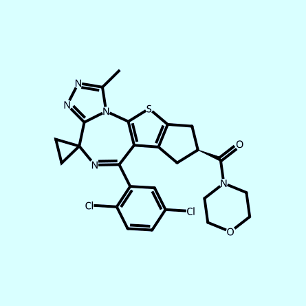 Cc1nnc2n1-c1sc3c(c1C(c1cc(Cl)ccc1Cl)=NC21CC1)C[C@H](C(=O)N1CCOCC1)C3